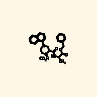 CC(NC(=O)C1CN(c2cccc3ccccc23)CCN1C(=O)O)C(=O)OCc1ccccc1